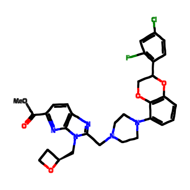 COC(=O)c1ccc2nc(CN3CCN(c4cccc5c4OCC(c4ccc(Cl)cc4F)O5)CC3)n(C[C@@H]3CCO3)c2n1